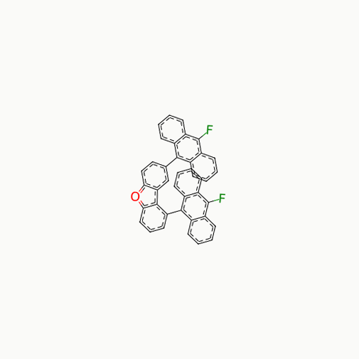 Fc1c2ccccc2c(-c2ccc3oc4cccc(-c5c6ccccc6c(F)c6ccccc56)c4c3c2)c2ccccc12